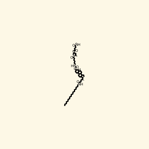 CCCCCCCCCCCCCCCCCCNC(=O)CC[C@@H](C)[C@H]1CCC2C3CC[C@@H]4C[C@H](OC(=O)NCCCCCC(=O)N5C[C@H](OC(=O)CCC(=O)NC)C[C@H]5C)CC[C@]4(C)C3CC[C@@]21C